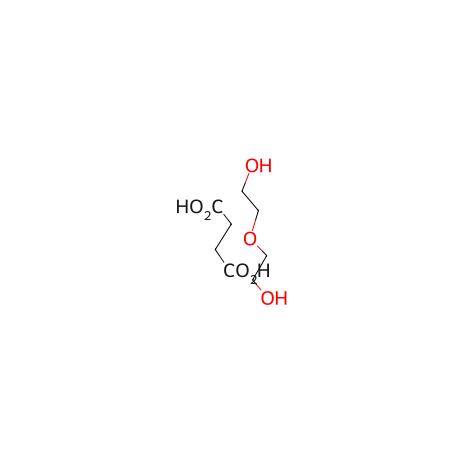 O=C(O)CCC(=O)O.OCCOCCO